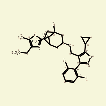 CCOC(=O)Cc1nc([C@@]2(O)C3C[C@H](OCc4c(-c5c(Cl)cccc5Cl)noc4C4CC4)C[C@H]2C[C@@H]3C)oc1C(F)(F)F